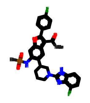 CCS(=O)(=O)Nc1cc2oc(-c3ccc(F)cc3)c(C(=O)NC)c2cc1C1CCCN(c2nc3c(F)cccc3[nH]2)C1